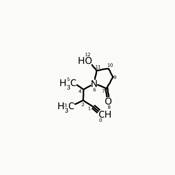 C#CC(C)C(C)N1C(=O)CCC1O